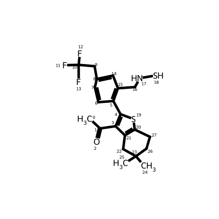 CC(=O)c1c(-c2ccc(CC(F)(F)F)cc2CNS)sc2c1CC(C)(C)CC2